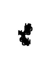 C=C1C[C@H]2C=Nc3cc(OCc4cc(COc5cc6c(cc5OC)C(=O)N5CC(=C)C[C@H]5C=N6)cc(CN(C)C)c4)c(OC)cc3C(=O)N2C1